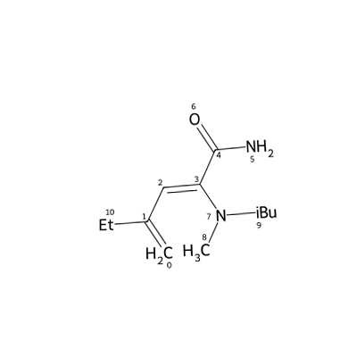 C=C(/C=C(/C(N)=O)N(C)C(C)CC)CC